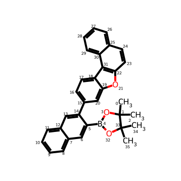 CC1(C)OB(c2cc3ccccc3cc2-c2ccc3c(c2)oc2ccc4ccccc4c23)OC1(C)C